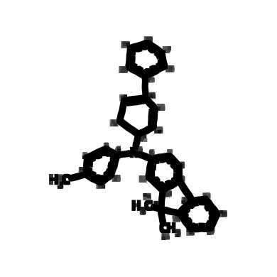 Cc1ccc(N(c2ccc3c(c2)C(C)(C)c2ccccc2-3)C2C=CC(c3ccccc3)=CC2)cc1